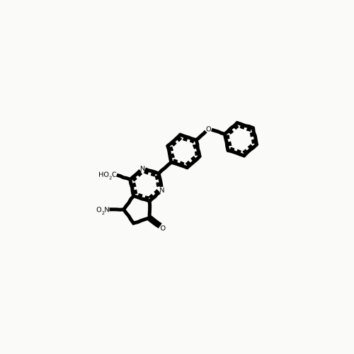 O=C(O)c1nc(-c2ccc(Oc3ccccc3)cc2)nc2c1C([N+](=O)[O-])CC2=O